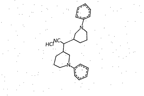 Cl.N#CC(C1CCCN(c2ccccc2)C1)C1CCCN(c2ccccc2)C1